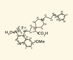 COc1ccc2ncc(N(C)C)c([C@H](F)CCC3(CC(=O)O)CCN(CCSc4cccs4)CC3)c2c1